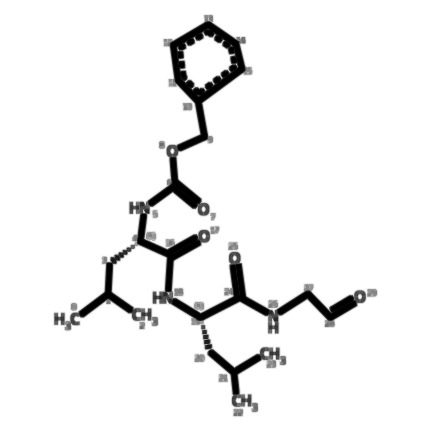 CC(C)C[C@H](NC(=O)OCc1ccccc1)C(=O)N[C@@H](CC(C)C)C(=O)NCC=O